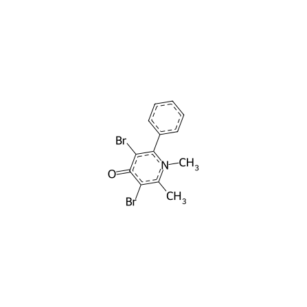 Cc1c(Br)c(=O)c(Br)c(-c2ccccc2)n1C